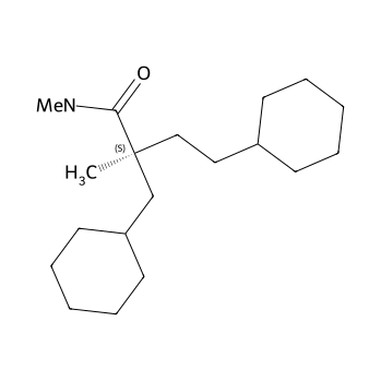 CNC(=O)[C@@](C)(CCC1CCCCC1)CC1CCCCC1